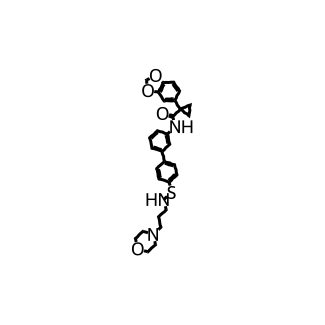 O=C(Nc1cccc(-c2ccc(SNCCCN3CCOCC3)cc2)c1)C1(c2ccc3c(c2)OCO3)CC1